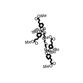 COC(=O)CCc1ccc(OP(OCCOCCOCCOP(Oc2ccc(CCC(=O)OC)cc2C(C)(C)C)Oc2ccc(CCC(=O)OC)cc2C(C)(C)C)Oc2ccc(CCC(=O)OC)cc2C(C)(C)C)c(C(C)(C)C)c1